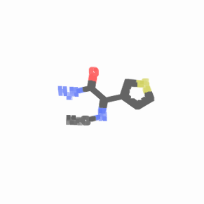 CON=C(C(N)=O)c1ccsc1